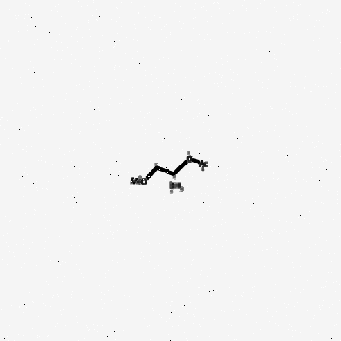 COCCOC(C)=O.[BiH3]